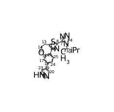 CC(C)C(C)n1cnnc1-c1nc2c(s1)CCOc1cc(-c3cn[nH]c3)ccc1-2